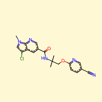 Cn1cc(Cl)c2cc(C(=O)NC(C)(C)COc3ccc(C#N)cn3)cnc21